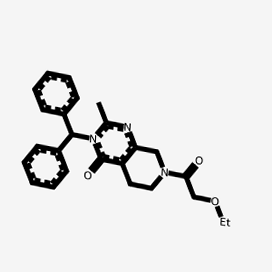 CCOCC(=O)N1CCc2c(nc(C)n(C(c3ccccc3)c3ccccc3)c2=O)C1